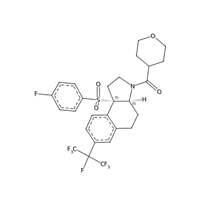 O=C(C1CCOCC1)N1CC[C@]2(S(=O)(=O)c3ccc(F)cc3)c3ccc(C(F)(C(F)(F)F)C(F)(F)F)cc3CC[C@H]12